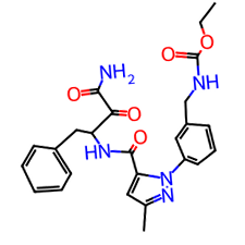 CCOC(=O)NCc1cccc(-n2nc(C)cc2C(=O)NC(Cc2ccccc2)C(=O)C(N)=O)c1